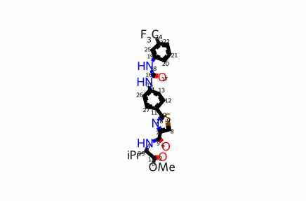 COC(=O)[C@@H](NC(=O)c1csc(-c2ccc(NC(=O)Nc3cccc(C(F)(F)F)c3)cc2)n1)C(C)C